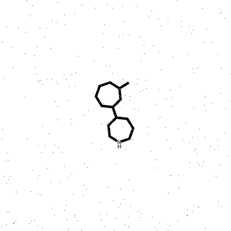 CC1CCCCC(C2CCCNCC2)C1